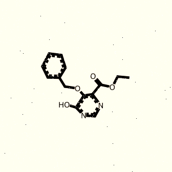 CCOC(=O)c1ncnc(O)c1OCc1ccccc1